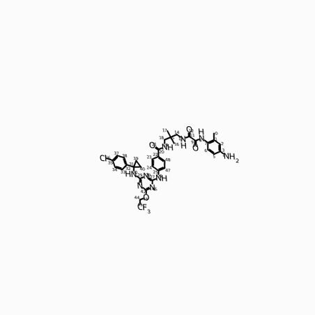 Cc1cc(N)ccc1NC(=O)C(=O)NCC(C)(C)CNC(=O)c1ccc(Nc2nc(NC3(c4ccc(Cl)cc4)CC3)nc(OCC(F)(F)F)n2)cc1